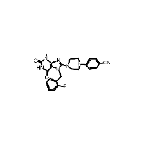 Cn1c(=O)[nH]c(=O)c2c1nc(N1CCN(c3ccc(C#N)cc3)CC1)n2Cc1ccccc1F